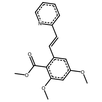 COC(=O)c1c(/C=C/c2ccccn2)cc(OC)cc1OC